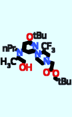 CCCN(c1cc(OC(C)(C)C)nc(N2CCN(CC(=O)OCC(C)(C)C)CC2C(F)(F)F)c1)[C@H](C)CO